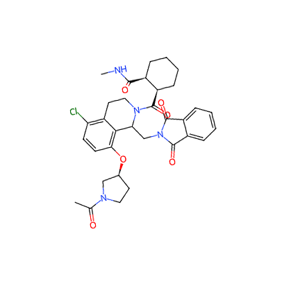 CNC(=O)[C@H]1CCCC[C@H]1C(=O)N1CCc2c(Cl)ccc(O[C@H]3CCN(C(C)=O)C3)c2C1CN1C(=O)c2ccccc2C1=O